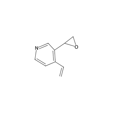 C=Cc1ccncc1C1CO1